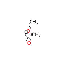 C=CCOC(C)C1(CC)COC1